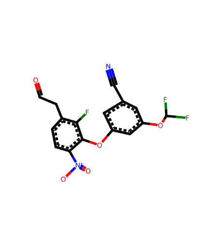 N#Cc1cc(Oc2c([N+](=O)[O-])ccc(CC=O)c2F)cc(OC(F)F)c1